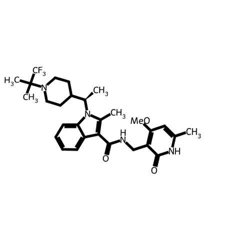 COc1cc(C)[nH]c(=O)c1CNC(=O)c1c(C)n([C@H](C)C2CCN(C(C)(C)C(F)(F)F)CC2)c2ccccc12